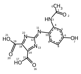 CC(=O)Nc1cc(O)ccc1N=C1N=C(C(=O)O)C(C(=O)O)=N1